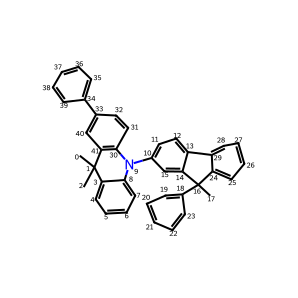 CC1(C)c2ccccc2N(c2ccc3c(c2)C(C)(c2ccccc2)c2ccccc2-3)c2ccc(-c3ccccc3)cc21